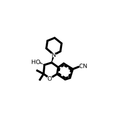 CC1(C)Oc2ccc(C#N)cc2[C@H](N2CCCCC2)[C@H]1O